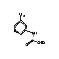 O=CC(=O)Nc1cccc(C(F)(F)F)c1